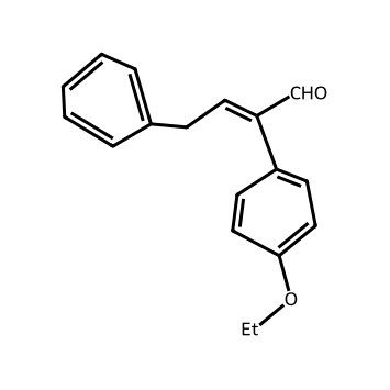 CCOc1ccc(/C(C=O)=C\Cc2ccccc2)cc1